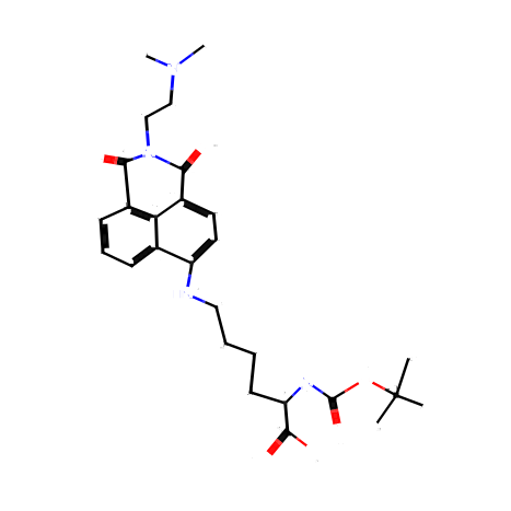 CN(C)CCN1C(=O)c2cccc3c(NCCCCC(NC(=O)OC(C)(C)C)C(=O)O)ccc(c23)C1=O